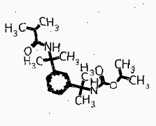 CC(C)OC(=O)NC(C)(C)c1cccc(C(C)(C)NC(=O)C(C)C)c1